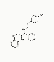 N#Cc1ccc(CCN[C@H](c2ccccc2)[C@H]2CNc3nccnc3N2)cc1